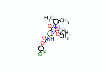 Cc1cc(C)cc(NC(=O)C2CCC(NC(=O)COc3ccc(Cl)c(F)c3)CN2C(=O)OC(C)(C)C)c1